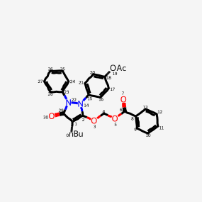 CCCCc1c(OCOC(=O)c2ccccc2)n(-c2ccc(OC(C)=O)cc2)n(-c2ccccc2)c1=O